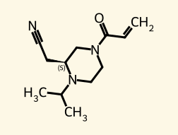 C=CC(=O)N1CCN(C(C)C)[C@@H](CC#N)C1